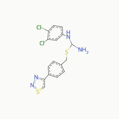 NC(Nc1ccc(Cl)c(Cl)c1)SCc1ccc(-c2csnn2)cc1